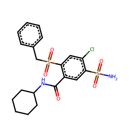 NS(=O)(=O)c1cc(C(=O)NC2CCCCC2)c(S(=O)(=O)Cc2ccccc2)cc1Cl